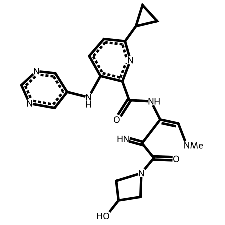 CN/C=C(/NC(=O)c1nc(C2CC2)ccc1Nc1cncnc1)C(=N)C(=O)N1CC(O)C1